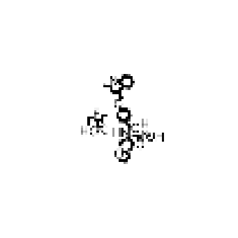 Cc1cc(COc2ccc(C(=O)N[C@]3(CC(=O)NO)CC[C@@]4(CCCO4)CC3)cc2)c2ccccc2n1.O=C(O)C(F)(F)F